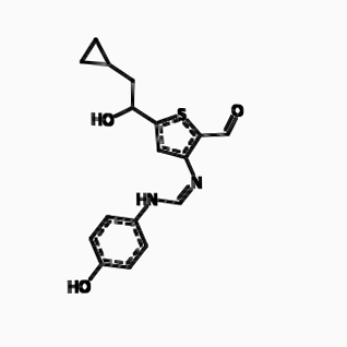 O=Cc1sc(C(O)CC2CC2)cc1/N=C\Nc1ccc(O)cc1